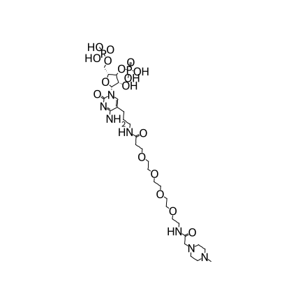 CN1CCN(CC(=O)NCCOCCOCCOCCOCCC(=O)NCCCc2cn([C@@H]3O[C@H](COP(=O)(O)O)C(OP(=O)(O)O)[C@@H]3O)c(=O)nc2N)CC1